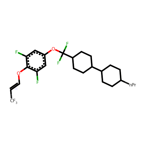 CCCC1CCC(C2CCC(C(F)(F)Oc3cc(F)c(O/C=C/C(F)(F)F)c(F)c3)CC2)CC1